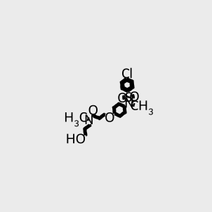 CN(CCCO)C(=O)CCOC1CCC(N(C)S(=O)(=O)c2ccc(Cl)cc2)CC1